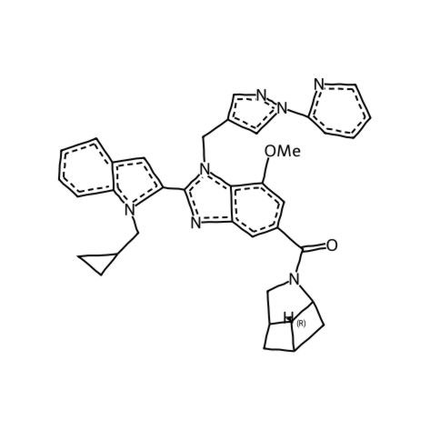 COc1cc(C(=O)N2CC3CC4CC2[C@H]43)cc2nc(-c3cc4ccccc4n3CC3CC3)n(Cc3cnn(-c4ccccn4)c3)c12